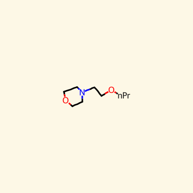 CCCOCCN1CCOCC1